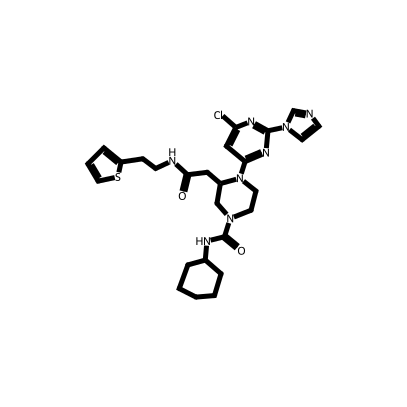 O=C(CC1CN(C(=O)NC2CCCCC2)CCN1c1cc(Cl)nc(-n2ccnc2)n1)NCCc1cccs1